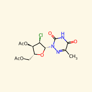 CC(=O)OC[C@H]1O[C@@H](n2nc(C)c(=O)[nH]c2=O)[C@H](Cl)[C@@H]1OC(C)=O